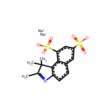 CC1=Nc2ccc3cc(S(=O)(=O)[O-])cc(S(=O)(=O)[O-])c3c2C1(C)C.[Na+].[Na+]